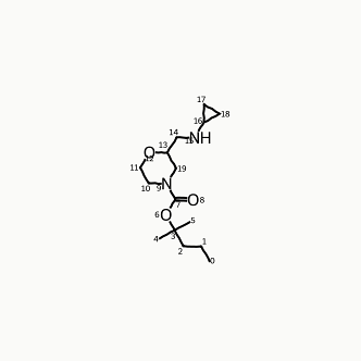 CCCC(C)(C)OC(=O)N1CCOC(CNC2CC2)C1